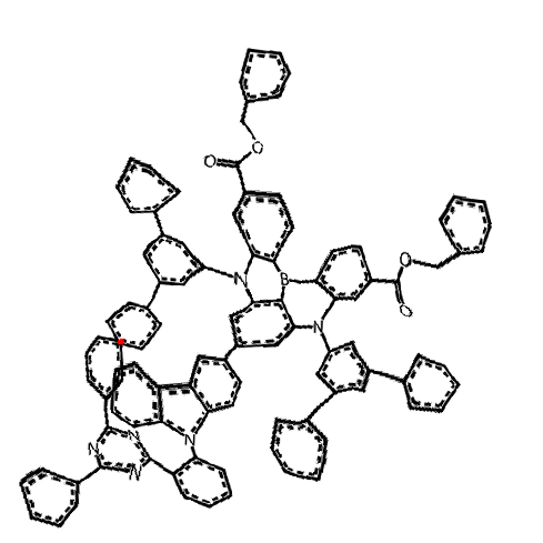 O=C(OCc1ccccc1)c1ccc2c(c1)N(c1cc(-c3ccccc3)cc(-c3ccccc3)c1)c1cc(-c3ccc4c(c3)c3ccccc3n4-c3ccccc3-c3nc(-c4ccccc4)nc(-c4ccccc4)n3)cc3c1B2c1ccc(C(=O)OCc2ccccc2)cc1N3c1cc(-c2ccccc2)cc(-c2ccccc2)c1